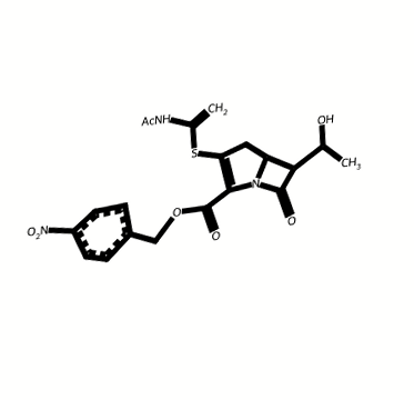 C=C(NC(C)=O)SC1=C(C(=O)OCc2ccc([N+](=O)[O-])cc2)N2C(=O)C(C(C)O)C2C1